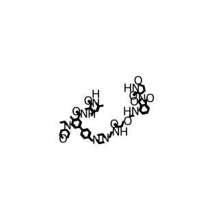 CCN(c1cc(-c2ccc(CN3CCN(CCNC(=O)CCOCCNc4cccc5c4C(=O)N(C4CCC(=O)NC4=O)C5=O)CC3)cc2)cc(C(=O)NCc2c(C)cc(C)[nH]c2=O)c1C)C1CCOCC1